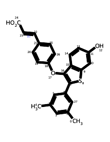 Cc1cc(C)cc(-c2sc3cc(O)ccc3c2Oc2ccc(/C=C/C(=O)O)cc2)c1